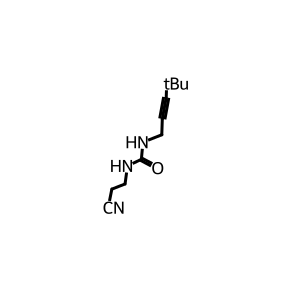 CC(C)(C)C#CCNC(=O)NCCC#N